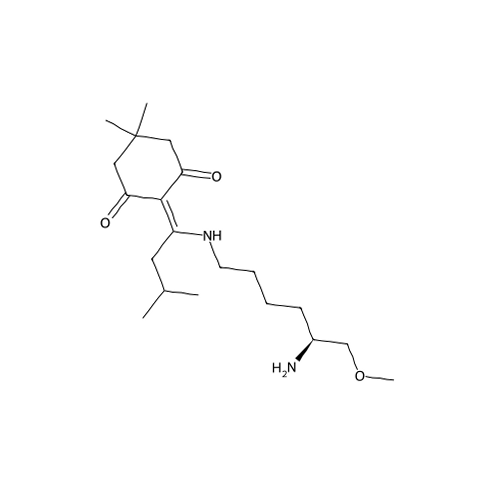 COC[C@@H](N)CCCCNC(CC(C)C)=C1C(=O)CC(C)(C)CC1=O